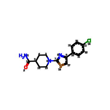 NC(=O)C1CCN(c2nc(-c3ccc(Cl)cc3)cs2)CC1